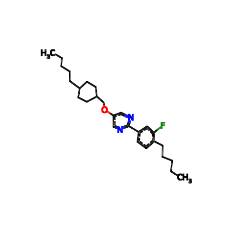 CCCCCc1ccc(-c2ncc(OCC3CCC(CCCCC)CC3)cn2)cc1F